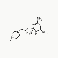 CN1CCN(CCCC2(N)N=C(N)N=C(N)N2)CC1